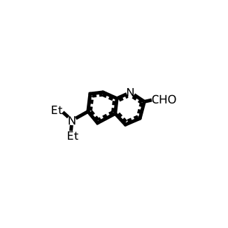 CCN(CC)c1ccc2nc(C=O)ccc2c1